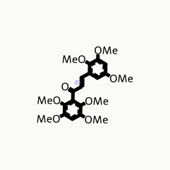 COc1cc(/C=C/C(=O)c2c(OC)c(OC)cc(OC)c2OC)c(OC)c(OC)c1